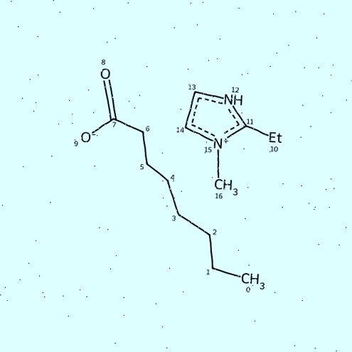 CCCCCCCC(=O)[O-].CCc1[nH]cc[n+]1C